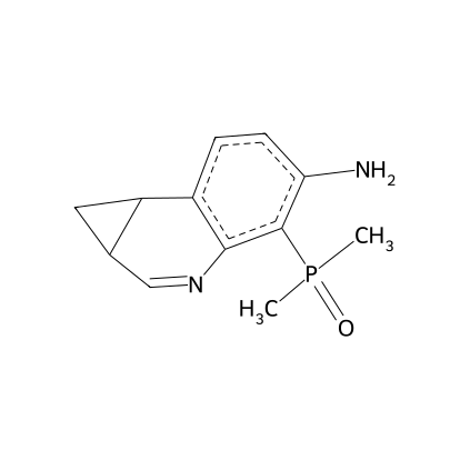 CP(C)(=O)c1c(N)ccc2c1N=CC1CC21